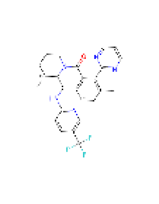 Cc1cccc(C(=O)N2CCC[C@@H](C)C2CNc2ccc(C(F)(F)F)cn2)c1-c1ncccn1